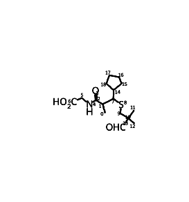 CC(C(=O)NCC(=O)O)C(SCC(C)(C)C=O)C1CCCC1